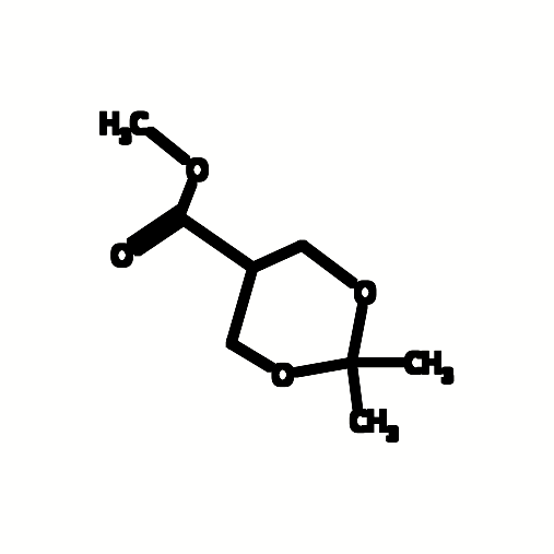 COC(=O)C1COC(C)(C)OC1